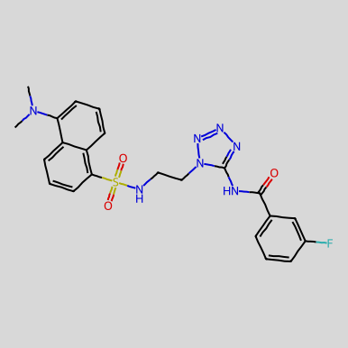 CN(C)c1cccc2c(S(=O)(=O)NCCn3nnnc3NC(=O)c3cccc(F)c3)cccc12